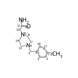 Cc1ccc(CN2CCN(CC(N)=O)CC2)cc1